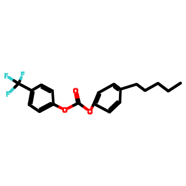 CCCCCc1ccc(OC(=O)Oc2ccc(C(F)(F)F)cc2)cc1